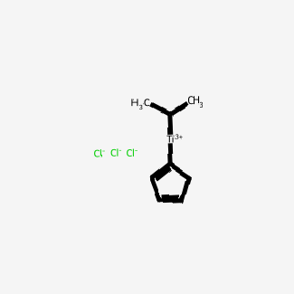 C[CH](C)[Ti+3][C]1=CC=CC1.[Cl-].[Cl-].[Cl-]